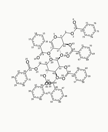 O=C(OCC1OC=C(OC(=O)c2ccccc2)[C@@H](O[C@@H]2OC(COC(=O)c3ccccc3)[C@@H](OC(=O)c3ccccc3)[C@H](OC(=O)c3ccccc3)C2OC(=O)c2ccccc2)[C@@H]1OC(=O)c1ccccc1)c1ccccc1